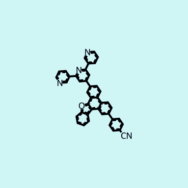 N#Cc1ccc(-c2ccc3c4ccc(-c5cc(-c6cccnc6)nc(-c6cccnc6)c5)cc4c4oc5ccccc5c4c3c2)cc1